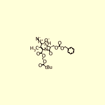 CC1=C(C(=O)OCOC(=O)C(C)(C)C)N2C(=O)[C@H](COC(=O)OCc3ccccc3)[C@@H]2[S@@+]([O-])C1=[N+]=[N-]